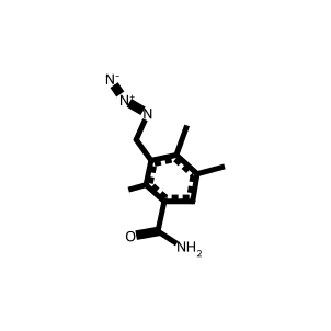 Cc1cc(C(N)=O)c(C)c(CN=[N+]=[N-])c1C